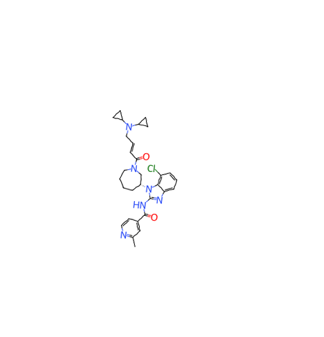 Cc1cc(C(=O)Nc2nc3cccc(Cl)c3n2[C@@H]2CCCCN(C(=O)C=CCN(C3CC3)C3CC3)C2)ccn1